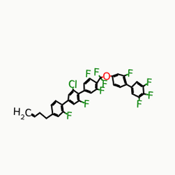 C=CCCc1ccc(-c2cc(F)c(-c3cc(F)c(C(F)(F)Oc4ccc(-c5cc(F)c(F)c(F)c5)c(F)c4)c(F)c3)c(Cl)c2)c(F)c1